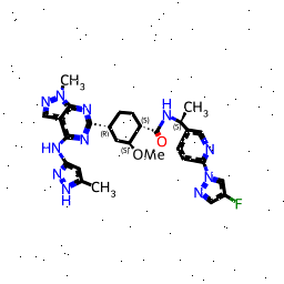 CO[C@H]1C[C@H](c2nc(Nc3cc(C)[nH]n3)c3cnn(C)c3n2)CC[C@@H]1C(=O)N[C@@H](C)c1ccc(-n2cc(F)cn2)nc1